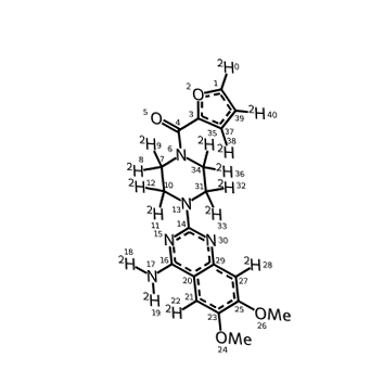 [2H]c1oc(C(=O)N2C([2H])([2H])C([2H])([2H])N(c3nc(N([2H])[2H])c4c([2H])c(OC)c(OC)c([2H])c4n3)C([2H])([2H])C2([2H])[2H])c([2H])c1[2H]